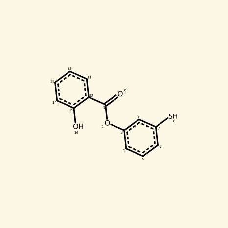 O=C(Oc1cccc(S)c1)c1ccccc1O